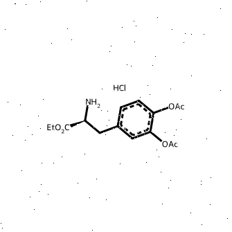 CCOC(=O)[C@@H](N)Cc1ccc(OC(C)=O)c(OC(C)=O)c1.Cl